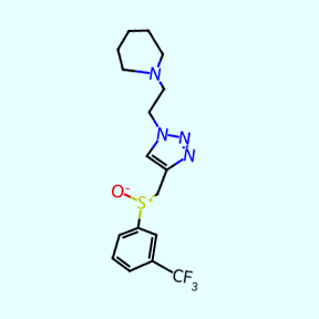 [O-][S+](Cc1cn(CCN2CCCCC2)nn1)c1cccc(C(F)(F)F)c1